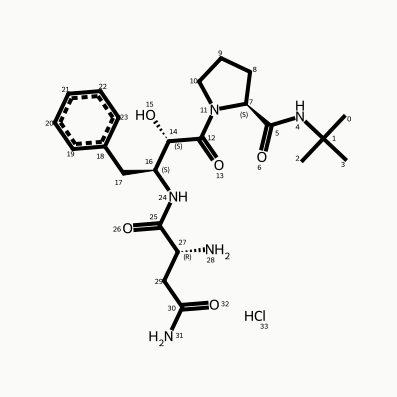 CC(C)(C)NC(=O)[C@@H]1CCCN1C(=O)[C@@H](O)[C@H](Cc1ccccc1)NC(=O)[C@H](N)CC(N)=O.Cl